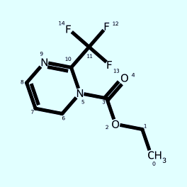 CCOC(=O)N1CC=CN=C1C(F)(F)F